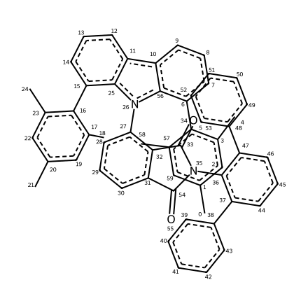 Cc1cc(C)c(-c2cccc3c4cccc(-c5c(C)cc(C)cc5C)c4n(-c4cccc5c4C(=O)N(c4c(-c6ccccc6)cccc4-c4ccccc4)C5=O)c23)c(C)c1